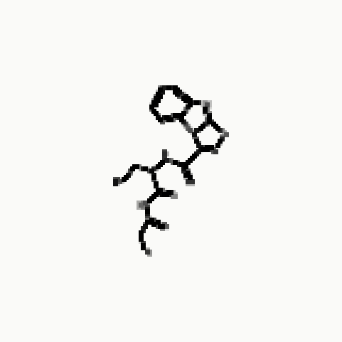 CC(C)CC(=O)NC(=O)C(CC(C)C)NC(=O)c1nsc2nc3ccccc3n12